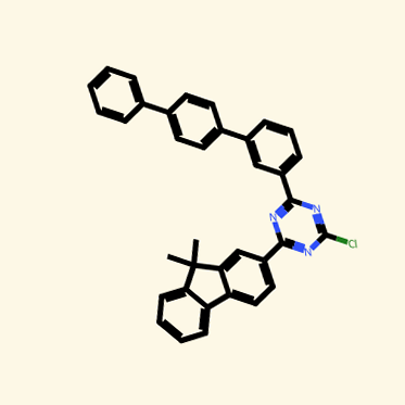 CC1(C)c2ccccc2-c2ccc(-c3nc(Cl)nc(-c4cccc(-c5ccc(-c6ccccc6)cc5)c4)n3)cc21